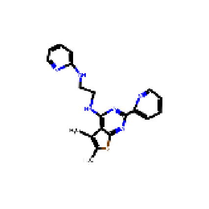 Cc1sc2nc(-c3ccccn3)nc(NCCNc3ccccn3)c2c1C